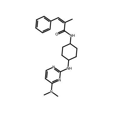 CC(=Cc1ccccc1)C(=O)NC1CCC(Nc2nccc(N(C)C)n2)CC1